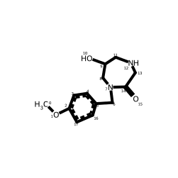 COc1ccc(CN2CC(O)CNCC2=O)cc1